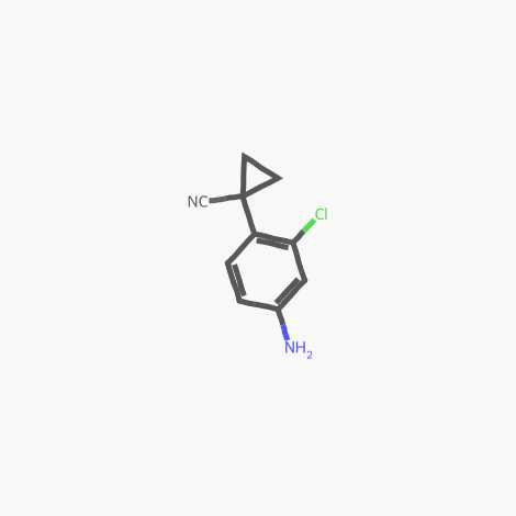 N#CC1(c2ccc(N)cc2Cl)CC1